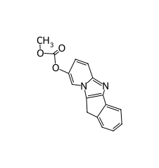 COC(=O)Oc1ccc2nc3c(n2c1)Cc1ccccc1-3